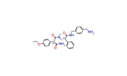 CCOc1ccc([C@H](C(N)=O)C(=O)N(C)C[C@H](C(=O)NCc2ccc(CN)cc2)c2ccccc2)cc1